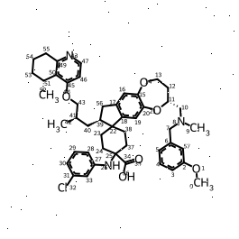 COc1cccc(CN(C)C[C@H]2CCOc3cc4c(cc3O2)C2(CCC(Nc3cccc(Cl)c3)(C(=O)O)CC2)[C@@H](C[C@@H](C)COc2ccnc3c2[C@H](C)CCC3)C4)c1